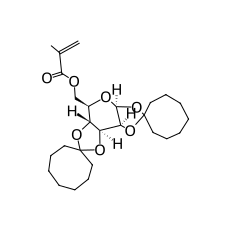 C=C(C)C(=O)OC[C@H]1O[C@H]2OC3(CCCCCCC3)O[C@H]2[C@H]2OC3(CCCCCCC3)O[C@@H]21